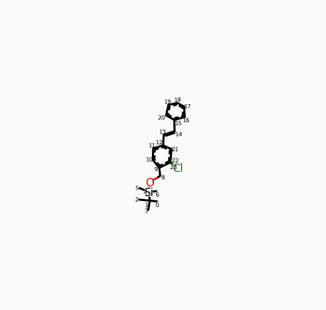 CC(C)(C)[Si](C)(C)OCc1ccc(C=Cc2ccccc2)cc1Cl